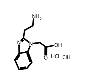 Cl.Cl.NCCc1nc2ccccc2n1CC(=O)O